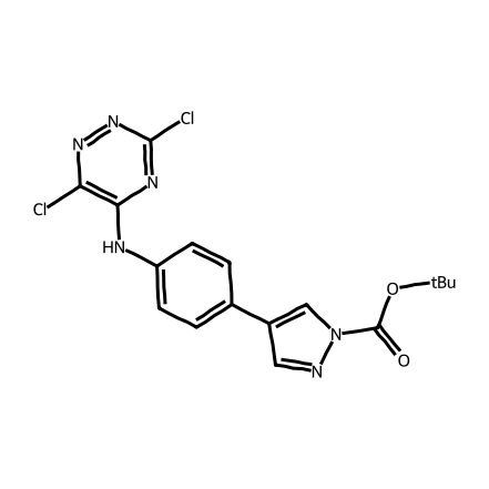 CC(C)(C)OC(=O)n1cc(-c2ccc(Nc3nc(Cl)nnc3Cl)cc2)cn1